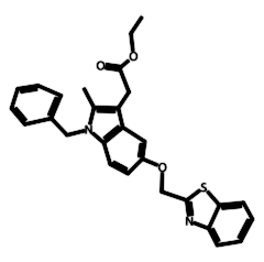 CCOC(=O)Cc1c(C)n(Cc2ccccc2)c2ccc(OCc3nc4ccccc4s3)cc12